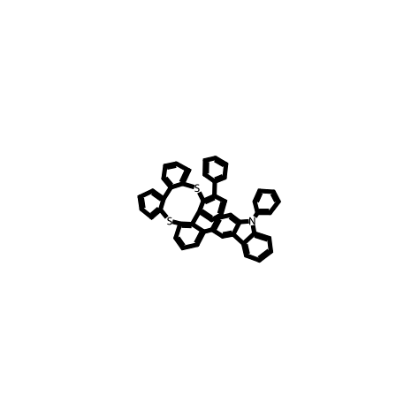 c1ccc(-c2cccc3c2Sc2ccccc2-c2ccccc2Sc2cccc(-c4ccc5c(c4)c4ccccc4n5-c4ccccc4)c2-3)cc1